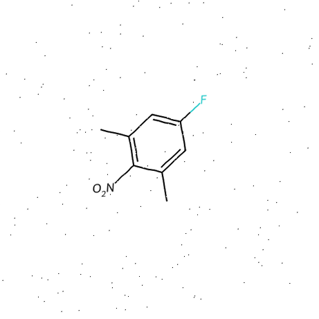 Cc1cc(F)cc(C)c1[N+](=O)[O-]